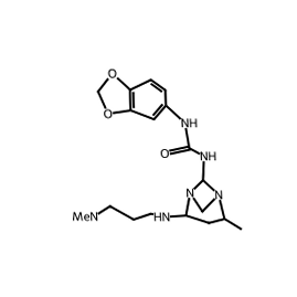 CNCCCNC1CC(C)N2CN1C2NC(=O)Nc1ccc2c(c1)OCO2